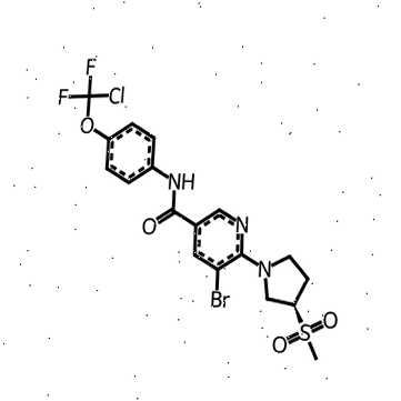 CS(=O)(=O)[C@@H]1CCN(c2ncc(C(=O)Nc3ccc(OC(F)(F)Cl)cc3)cc2Br)C1